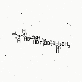 BBBBBBBBBBI